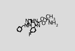 CC1(CN)COC(c2nc(-c3ccc(F)cc3)c(-c3ccnc(NCc4ccccc4)n3)[nH]2)OC1